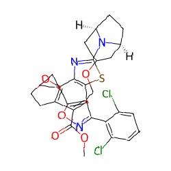 COC(=O)c1cc2sc(N3[C@@H]4CC[C@H]3CC(OCc3c(-c5c(Cl)cccc5Cl)noc3C3CC3)C4)nc2c2c1CCO2